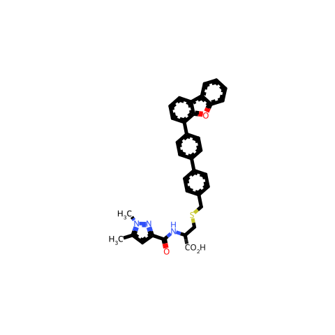 Cc1cc(C(=O)NC(CSCc2ccc(-c3ccc(-c4cccc5c4oc4ccccc45)cc3)cc2)C(=O)O)nn1C